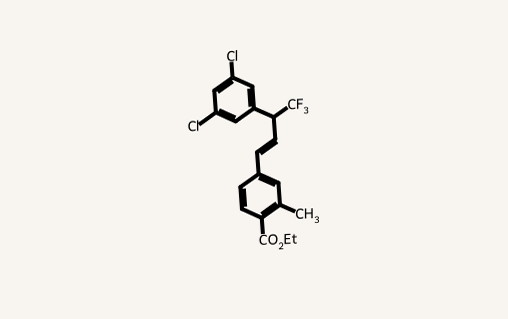 CCOC(=O)c1ccc(C=CC(c2cc(Cl)cc(Cl)c2)C(F)(F)F)cc1C